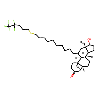 C[C@]12CCC(=O)C[C@@H]1CC[C@@H]1[C@@H]2[C@@H](CCCCCCCCCCSCCCC(F)(F)C(F)(F)F)C[C@]2(C)[C@@H](O)CC[C@@H]12